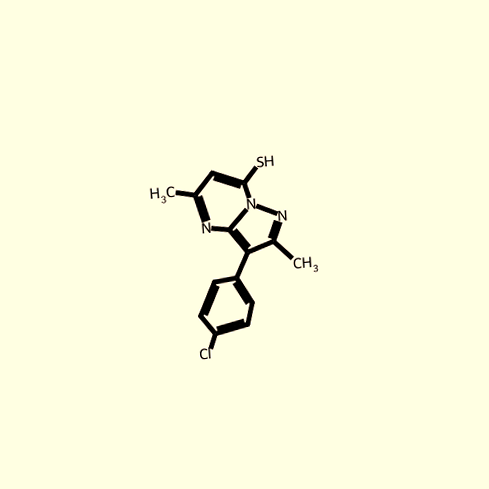 Cc1cc(S)n2nc(C)c(-c3ccc(Cl)cc3)c2n1